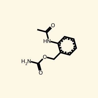 CC(=O)Nc1ccccc1COC(N)=O